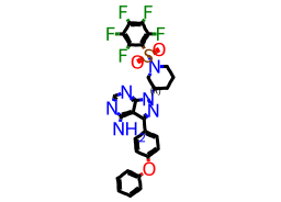 Nc1ncnc2c1c(-c1ccc(Oc3ccccc3)cc1)nn2[C@@H]1CCCN(S(=O)(=O)c2c(F)c(F)c(F)c(F)c2F)C1